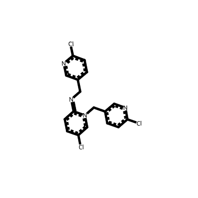 Clc1ccc(=NCc2ccc(Cl)nc2)n(Cc2ccc(Cl)nc2)c1